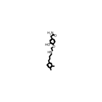 Cc1ccc(CCCCNCCOc2ccc(CC(N)=O)cc2O)cc1C